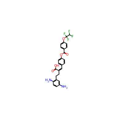 Nc1ccc(N)c(CCC(=Cc2ccc(OC(=O)c3ccc(OC(F)(F)C(F)F)cc3)cc2)C(=O)O)c1